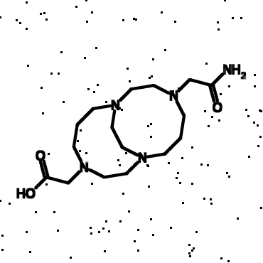 NC(=O)CN1CCCN2CCN(CCCN(CC(=O)O)CC2)CC1